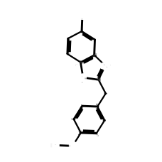 CC(C)Oc1ccc(Cc2nc3cc(C(=O)O)ccc3[nH]2)cc1